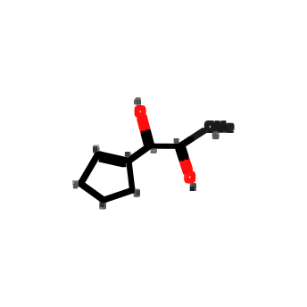 COC(=O)C(=O)C1=CCCC1